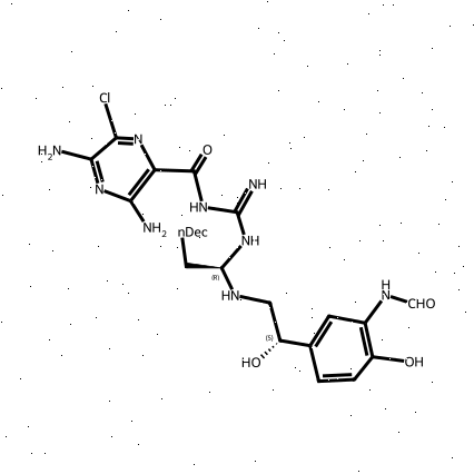 CCCCCCCCCCC[C@H](NC[C@@H](O)c1ccc(O)c(NC=O)c1)NC(=N)NC(=O)c1nc(Cl)c(N)nc1N